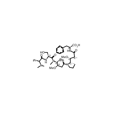 CC[C@H](C)[C@@H]([C@@H](CC(=O)N1CCC[C@H]1[C@H](OC)[C@@H](C)C(=O)N[C@@H](Cc1ccccc1)C(=O)O)OC)N(C)C(=O)[C@H](CO)NC(=O)C(C(C)C)N(C)C